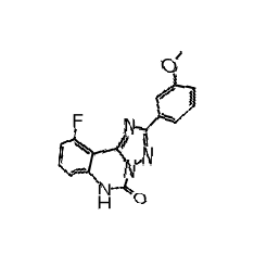 COc1cccc(-c2nc3c4c(F)cccc4[nH]c(=O)n3n2)c1